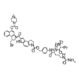 CCN[C@H](C(=O)N[C@@H](CCCNC(N)=O)C(=O)Nc1ccc(COC(=O)N2CCc3c2ccc2[nH]c(C(=O)N4C[C@@H](CBr)c5c4cc(OC(=O)N4CCN(C)CC4)c4ccccc54)cc32)cc1)C(C)C